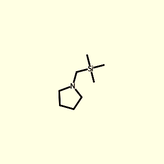 C[Si](C)(C)CN1CCCC1